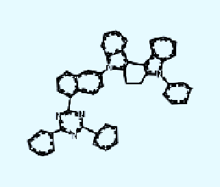 c1ccc(-c2nc(-c3ccccc3)nc(-c3cccc4cc(-n5c6c(c7ccccc75)-c5c(n(-c7ccccc7)c7ccccc57)CC6)ccc34)n2)cc1